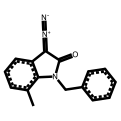 Cc1cccc2c1N(Cc1ccccc1)C(=O)C2=[N+]=[N-]